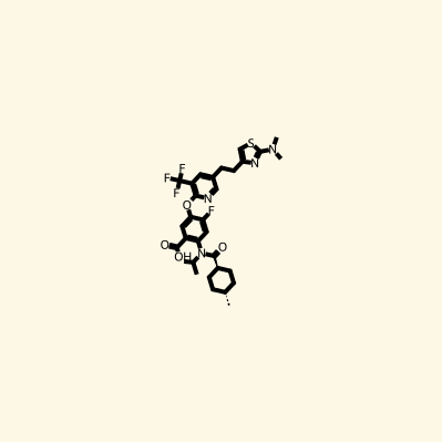 CC(C)N(c1cc(F)c(Oc2ncc(CCc3csc(N(C)C)n3)cc2C(F)(F)F)cc1C(=O)O)C(=O)[C@H]1CC[C@H](C)CC1